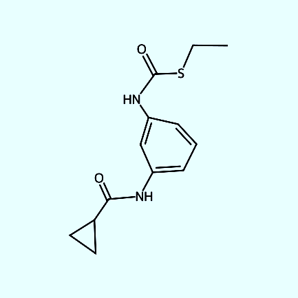 CCSC(=O)Nc1cccc(NC(=O)C2CC2)c1